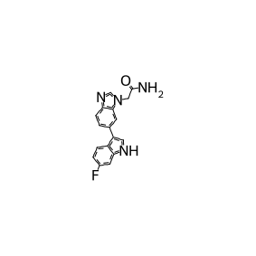 NC(=O)Cn1cnc2ccc(-c3c[nH]c4cc(F)ccc34)cc21